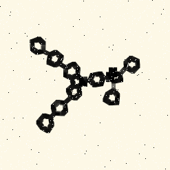 c1ccc(-c2ccc(-c3ccc4c(c3)c3cc(-c5ccc(-c6ccccc6)cc5)ccc3n4-c3ccc(-n4nc(-c5ccccc5)cc4-c4ccccc4)cc3)cc2)cc1